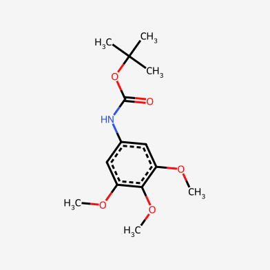 COc1cc(NC(=O)OC(C)(C)C)cc(OC)c1OC